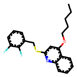 CCCCCOc1cc(SCc2cccc(F)c2F)nc2ccccc12